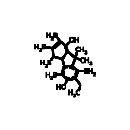 BC1=C(B)C(B)C2C(=C1O)C(C)(C)c1c(B)c(CC)c(O)c(B)c12